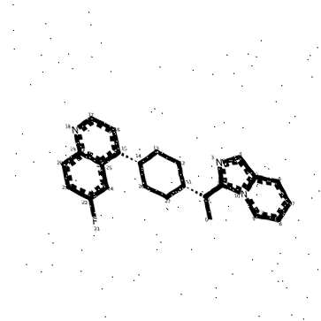 CC(c1ncc2ccccn12)[C@H]1CC[C@@H](c2ccnc3ccc(F)cc32)CC1